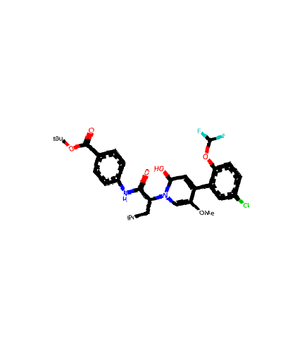 COC1=CN(C(CC(C)C)C(=O)Nc2ccc(C(=O)OC(C)(C)C)cc2)C(O)C=C1c1cc(Cl)ccc1OC(F)F